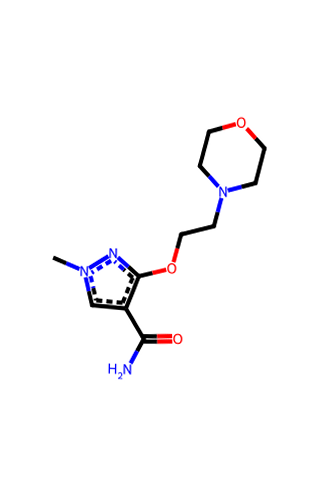 Cn1cc(C(N)=O)c(OCCN2CCOCC2)n1